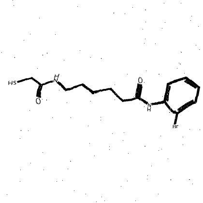 O=C(CS)NCCCCCC(=O)Nc1ccccc1Br